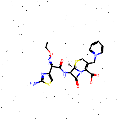 CCO/N=C(\C(=O)NC1C(=O)N2C(C(=O)[O-])=C(C[n+]3ccccc3)CS[C@H]12)c1csc(N)n1